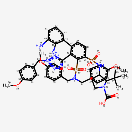 COc1ccc(CN(Cc2ccc(OC)cc2)S(=O)(=O)c2c(S(=O)(=O)NC3CCN(C(=O)O)C3C(C)(C)C)ccc(-c3cccc(N)c3N)c2-c2nnn(Cc3ccc(OC)cc3)n2)cc1